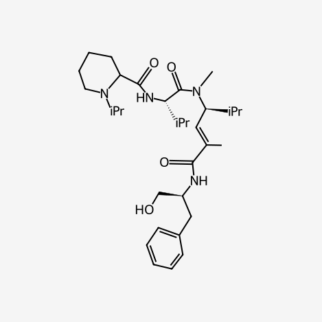 C/C(=C\[C@H](C(C)C)N(C)C(=O)[C@@H](NC(=O)C1CCCCN1C(C)C)C(C)C)C(=O)N[C@H](CO)Cc1ccccc1